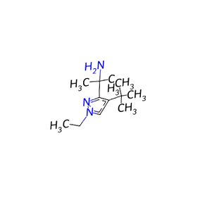 CCn1cc(C(C)(C)C)c(C(C)(C)N)n1